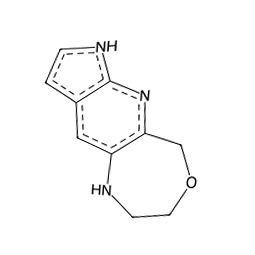 c1cc2cc3c(nc2[nH]1)COCCN3